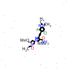 C=CC(=O)N1CC(n2nc(C#Cc3c(Cl)cc4c(nc(C)n4C)c3F)c(C(N)=O)c2NC)C[C@@H]1COC